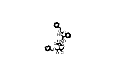 O=C(NC(C(=O)N[C@@H]1C(=O)N2C(C(=O)OCc3ccccc3)=C(Cl)CS[C@H]12)c1ccccc1)OCc1ccccc1